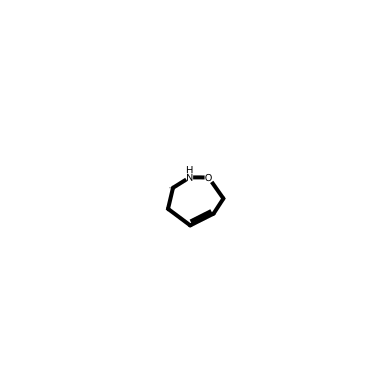 [CH]1CC=CCON1